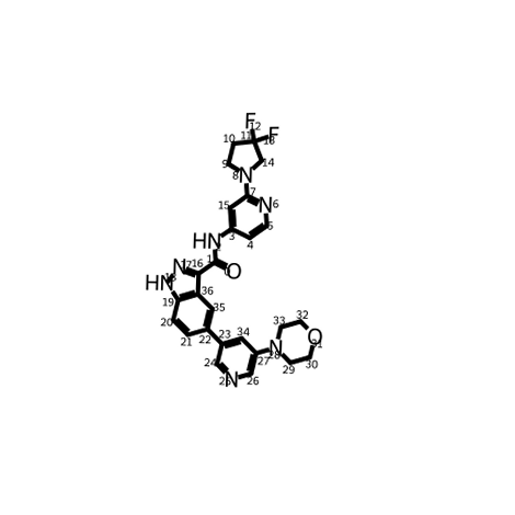 O=C(Nc1ccnc(N2CCC(F)(F)C2)c1)c1n[nH]c2ccc(-c3cncc(N4CCOCC4)c3)cc12